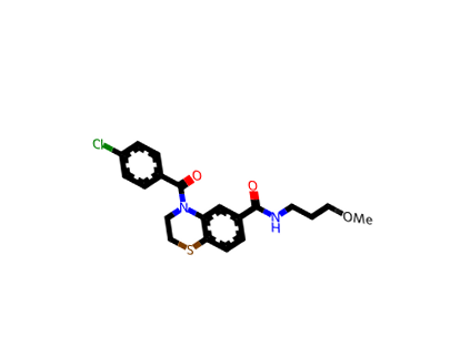 COCCCNC(=O)c1ccc2c(c1)N(C(=O)c1ccc(Cl)cc1)CCS2